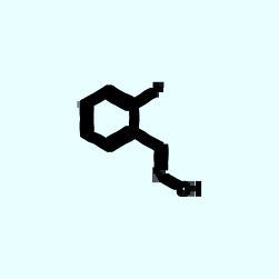 ON=Cc1cc[c]cc1F